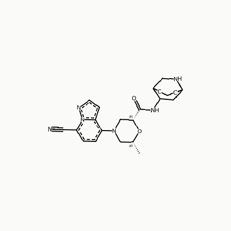 C[C@@H]1CN(c2ccc(C#N)n3nccc23)C[C@H](C(=O)NC2CC3CCCC2CN3)O1